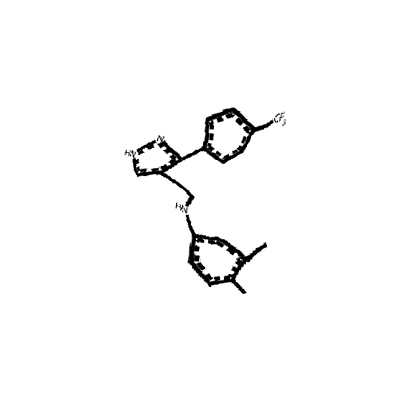 Cc1ccc(NCc2c[nH]nc2-c2ccc(C(F)(F)F)cc2)cc1C